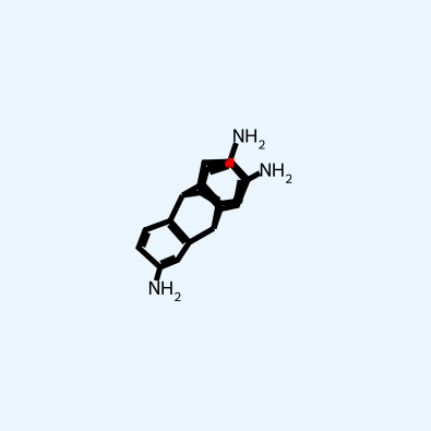 Nc1ccc2c(c1)C1c3ccc(N)cc3C2c2cc(N)ccc21